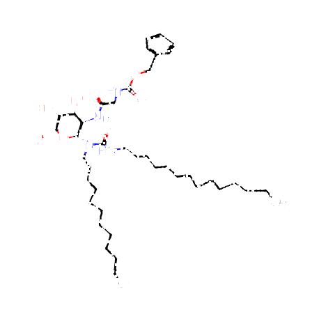 CCCCCCCCCCCCCCNC(=O)N(CCCCCCCCCCCC)[C@@H]1O[C@H](CO)[C@@H](O)[C@H](O)[C@H]1NC(=O)CNC(=O)OCc1ccccc1